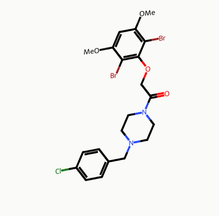 COc1cc(OC)c(Br)c(OCC(=O)N2CCN(Cc3ccc(Cl)cc3)CC2)c1Br